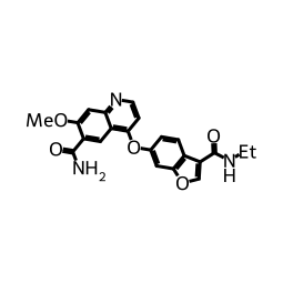 CCNC(=O)c1coc2cc(Oc3ccnc4cc(OC)c(C(N)=O)cc34)ccc12